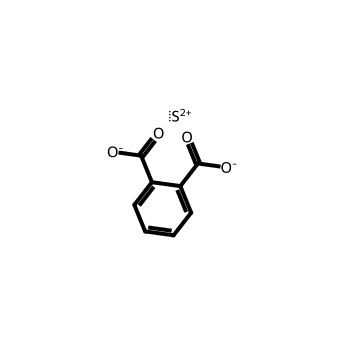 O=C([O-])c1ccccc1C(=O)[O-].[S+2]